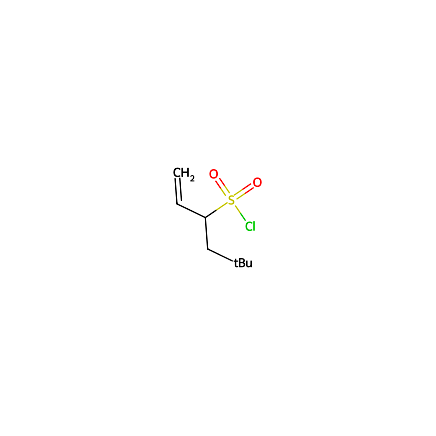 C=CC(CC(C)(C)C)S(=O)(=O)Cl